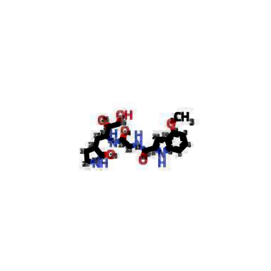 COc1cccc2[nH]c(C(=O)NCC(=O)NC(CC3CCNC3=O)C(=O)CO)cc12